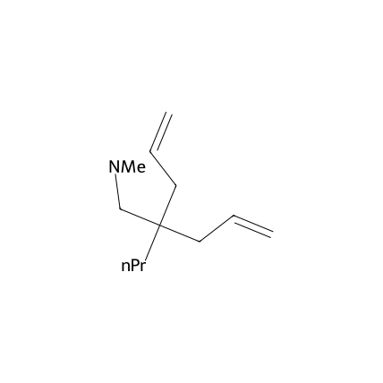 C=CCC(CC=C)(CCC)CNC